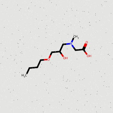 CCCCOCC(O)CN(C)CC(=O)O